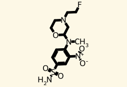 CN(c1ccc(S(N)(=O)=O)cc1[N+](=O)[O-])C1CN(CCF)CCO1